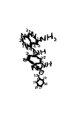 Nc1cc2c(Nc3ccc4nc(OCc5ccccc5)[nH]c4c3)ncnc2cn1